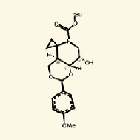 COc1ccc(C2OC[C@@H]3[C@@H](O2)[C@@H](O)CN(C(=O)OC(C)(C)C)C32CC2)cc1